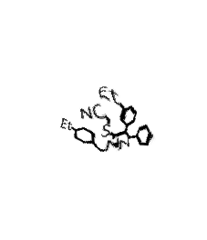 CCc1cccc(-c2c(-c3ccccc3)nn(CC3CCC(CC)CC3)c2SCC#N)c1